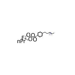 C/C=C/CCc1ccc(C(=O)OC2OCC(F)(CCC)CO2)cc1